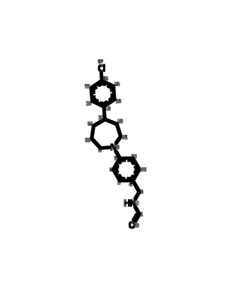 O=CNCc1ccc(N2CCCC(c3ccc(Cl)cc3)CC2)cc1